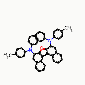 Cc1ccc(N(c2ccccc2)c2cc3ccccc3c3c2oc2c(N(c4ccccc4)c4ccc(C)cc4)cc4ccccc4c23)cc1